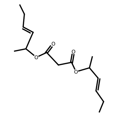 CC/C=C/C(C)OC(=O)CC(=O)OC(C)/C=C/CC